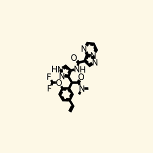 C=Cc1ccc(OC(F)F)c(C(C(=O)N(C)C)c2n[nH]cc2NC(=O)c2cnn3cccnc23)c1